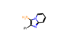 CC(C)c1nc2ccccn2c1P